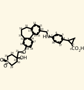 O=C(O)C1CC1c1ccc(NCc2ccc3c(c2)-c2ccc(OCC4(O)CCS(=O)(=O)CC4)cc2CCC3)cc1